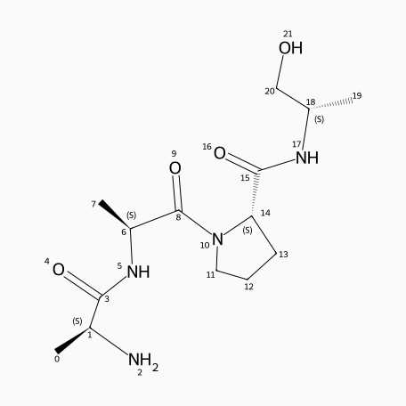 C[C@H](N)C(=O)N[C@@H](C)C(=O)N1CCC[C@H]1C(=O)N[C@@H](C)CO